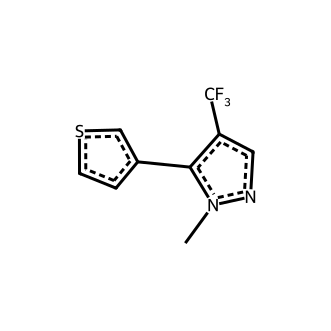 Cn1ncc(C(F)(F)F)c1-c1ccsc1